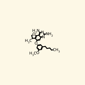 CCCCCc1cc(OC)cc(Oc2cc3nc(N)nc(N)c3c3c2C(C)CO3)c1